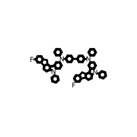 Fc1ccc2c(c1)-c1ccc3c(c1C2)c1cc(N(c2ccccc2)c2ccc(-c4ccc(N(c5ccccc5)c5ccc6c(c5)c5c7c(ccc5n6-c5ccccc5)-c5cc(F)ccc5C7)cc4)cc2)ccc1n3-c1ccccc1